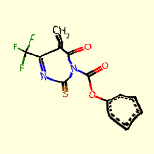 C=C1C(=O)N(C(=O)Oc2ccccc2)C(=S)N=C1C(F)(F)F